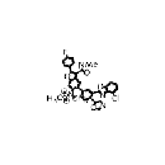 CNC(=O)c1c(-c2ccc(F)cc2)oc2cc(N(C)S(C)(=O)=O)c(-c3ccc(-c4cnco4)c(-c4nc5c(Cl)cccc5o4)c3)cc12